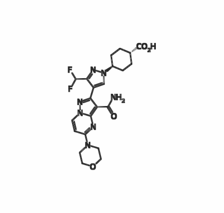 NC(=O)c1c(-c2cn([C@H]3CC[C@H](C(=O)O)CC3)nc2C(F)F)nn2ccc(N3CCOCC3)nc12